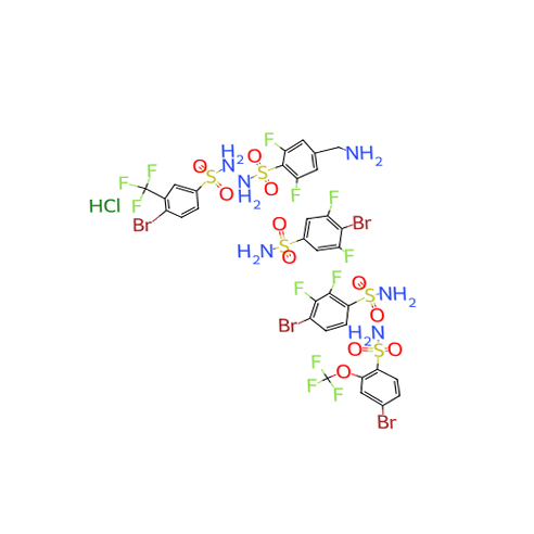 Cl.NCc1cc(F)c(S(N)(=O)=O)c(F)c1.NS(=O)(=O)c1cc(F)c(Br)c(F)c1.NS(=O)(=O)c1ccc(Br)c(C(F)(F)F)c1.NS(=O)(=O)c1ccc(Br)c(F)c1F.NS(=O)(=O)c1ccc(Br)cc1OC(F)(F)F